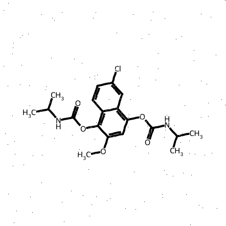 COc1cc(OC(=O)NC(C)C)c2cc(Cl)ccc2c1OC(=O)NC(C)C